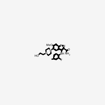 COc1cc2nnc(C(N)=O)c(Nc3ccc(C)cc3F)c2cc1N1CCN(CCO)CC1